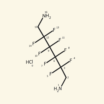 Cl.NCC(F)(F)C(F)(F)C(F)(F)C(F)(F)CN